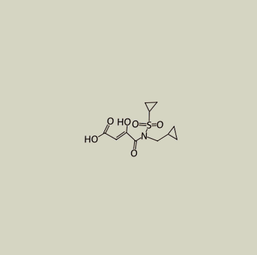 O=C(O)C=C(O)C(=O)N(CC1CC1)S(=O)(=O)C1CC1